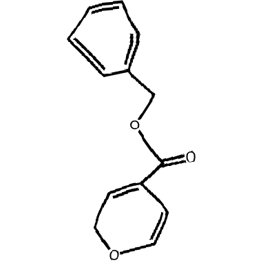 O=C(OCc1ccccc1)C1=CCOC=C1